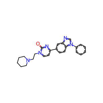 O=c1nc(-c2ccc3c(c2)ncn3-c2ccccc2)ccn1CCN1CCCCC1